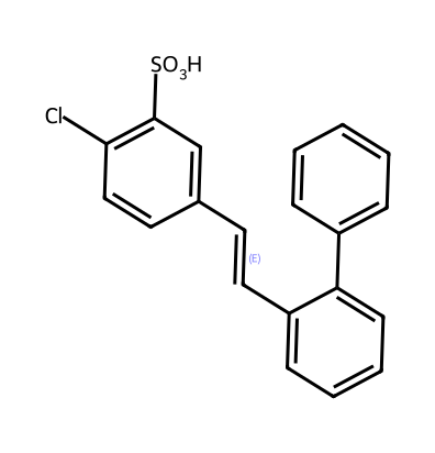 O=S(=O)(O)c1cc(/C=C/c2ccccc2-c2ccccc2)ccc1Cl